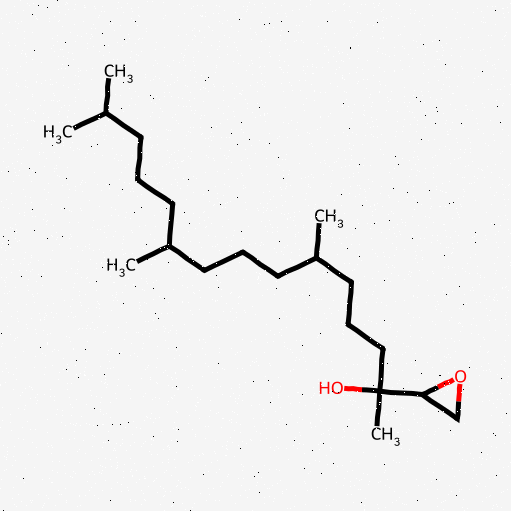 CC(C)CCCC(C)CCCC(C)CCCC(C)(O)C1CO1